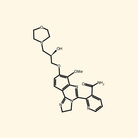 COc1c(OC[C@H](O)CN2CCOCC2)ccc2c1N=C(c1ncccc1C(N)=O)N1CCN=C21